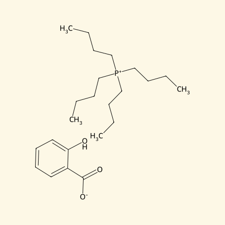 CCCC[P+](CCCC)(CCCC)CCCC.O=C([O-])c1ccccc1O